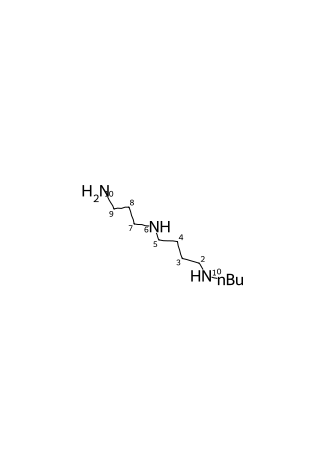 CCCCNCCCCNCCCN